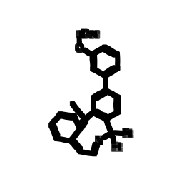 CCCCCCCCCCOc1cccc(-c2ccc3c(c2)\C(C)=c2/cccc/c2=C/C=N/C3(CC)CC)c1